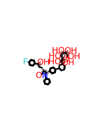 O=C1[C@H](CC[C@H](O)c2ccc(F)cc2)[C@@H](c2ccc(C3=CC=CC(O)([C@H](O)[C@H]4OC(O)[C@H](O)[C@@H](O)[C@@H]4O)C3)cc2)N1c1ccccc1